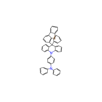 c1ccc(N(c2ccccc2)c2ccc(N3c4ccccc4C(c4ccccc4)(c4cccc5c4sc4ccccc45)c4ccccc43)cc2)cc1